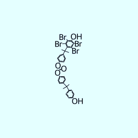 CC(C)(c1ccc(O)cc1)c1ccc(OC(=O)Oc2ccc(C(C)(C)c3c(Br)c(Br)c(O)c(Br)c3Br)cc2)cc1